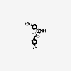 CN(C)c1ccc(CC(=O)N[C@@H]2CNCN2c2ccc(C(C)(C)C)cc2)cc1